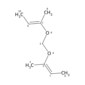 CC=C(C)OCOC(C)=CC